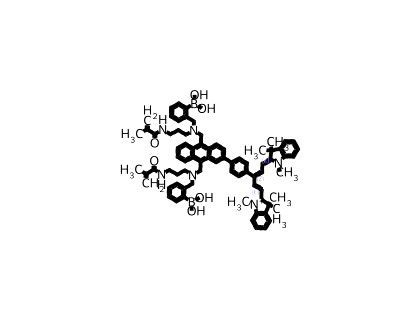 C=C(C)C(=O)NCCCN(Cc1ccccc1B(O)O)Cc1c2ccccc2c(CN(CCCNC(=O)C(=C)C)Cc2ccccc2B(O)O)c2cc(-c3ccc(C(=C\C=C4/N(C)c5ccccc5C4(C)C)/C=C/C4=[N+](C)c5ccccc5C4(C)C)cc3)ccc12